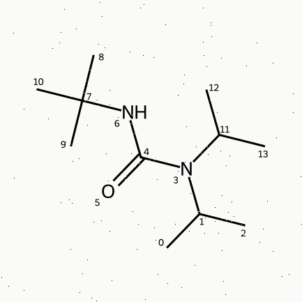 CC(C)N(C(=O)NC(C)(C)C)C(C)C